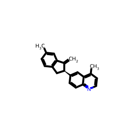 C=C1c2cc(C)ccc2C[C@@H]1c1ccc2nccc(C)c2c1